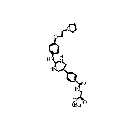 CC(C)(C)OC(=O)CNC(=O)c1ccc(C2CNC(Nc3ccc(OCCN4CCCC4)cc3)NC2)cc1